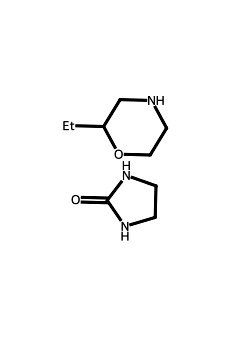 CCC1CNCCO1.O=C1NCCN1